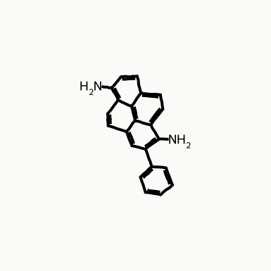 Nc1ccc2ccc3c(N)c(-c4ccccc4)cc4ccc1c2c43